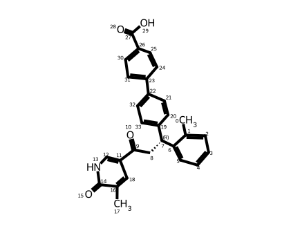 Cc1ccccc1[C@H](CC(=O)c1c[nH]c(=O)c(C)c1)c1ccc(-c2ccc(C(=O)O)cc2)cc1